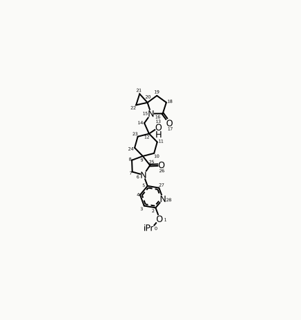 CC(C)Oc1ccc(N2CCC3(CCC(O)(CN4C(=O)CCC45CC5)CC3)C2=O)cn1